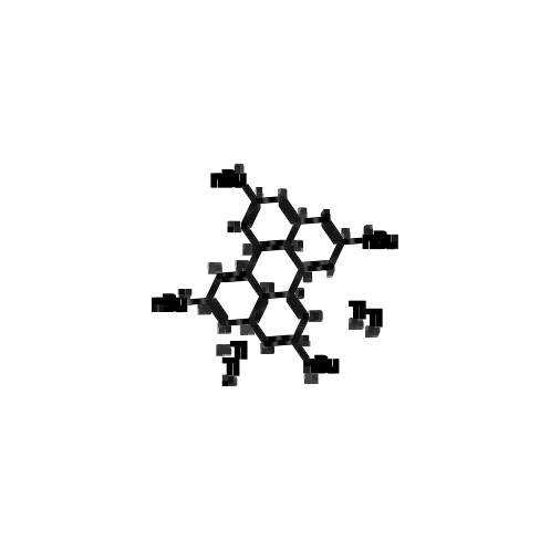 CCCCc1cc2cc(CCCC)cc3c4cc(CCCC)cc5cc(CCCC)cc(c(c1)c23)c54.[Ti].[Ti].[Ti].[Ti]